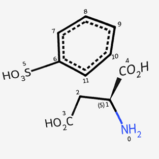 N[C@@H](CC(=O)O)C(=O)O.O=S(=O)(O)c1ccccc1